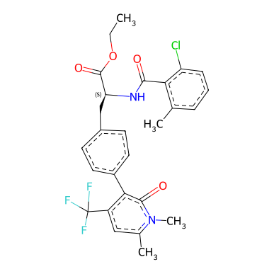 CCOC(=O)[C@H](Cc1ccc(-c2c(C(F)(F)F)cc(C)n(C)c2=O)cc1)NC(=O)c1c(C)cccc1Cl